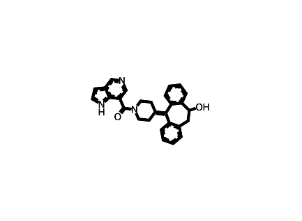 O=C(c1cncc2cc[nH]c12)N1CCC(=C2c3ccccc3CC(O)c3ccccc32)CC1